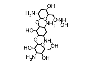 N[C@@H]1[C@@H](O)[C@@H](O[C@H]2[C@H](N)C[C@H](N)C(O[C@H]3O[C@H](CONO)[C@@H](O)C[C@H]3N)[C@@H]2O)O[C@H](CO)[C@H]1O